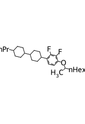 CCCCCCC(C)Oc1ccc(C2CCC(C3CCC(CCC)CC3)CC2)c(F)c1F